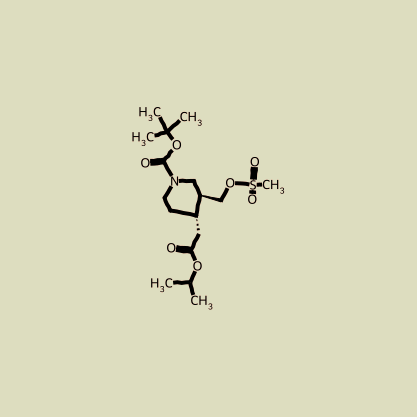 CC(C)OC(=O)C[C@@H]1CCN(C(=O)OC(C)(C)C)C[C@H]1COS(C)(=O)=O